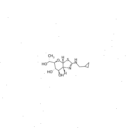 C[C@@H](O)[C@H]1O[C@@H]2SC(NCC3CC3)=N[C@@H]2[C@@H](O)[C@@H]1O